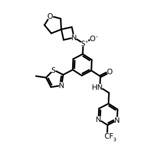 Cc1cnc(-c2cc(C(=O)NCc3cnc(C(F)(F)F)nc3)cc([S+]([O-])N3CC4(CCOC4)C3)c2)s1